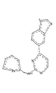 [c]1ccc(Nc2nccc(-c3ccc4scnc4c3)n2)nc1